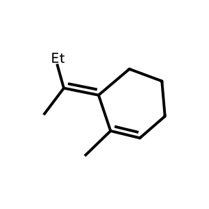 CCC(C)=C1CCCC=C1C